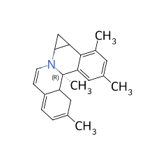 CC1=CC=C2C=CN3C4CC4c4c(C)cc(C)cc4[C@@]3(C)C2C1